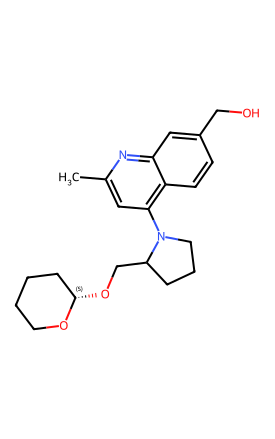 Cc1cc(N2CCCC2CO[C@H]2CCCCO2)c2ccc(CO)cc2n1